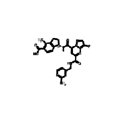 Cc1c(C(=O)O)ccc2c1CC[C@@H]2NC(=O)c1cc(C(=O)NCc2ccnc(N)c2)nc2c(F)cnn12